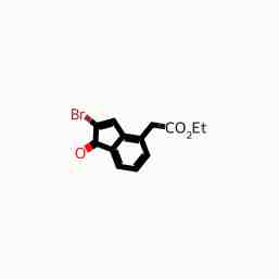 CCOC(=O)Cc1cccc2c1C=C(Br)C2=O